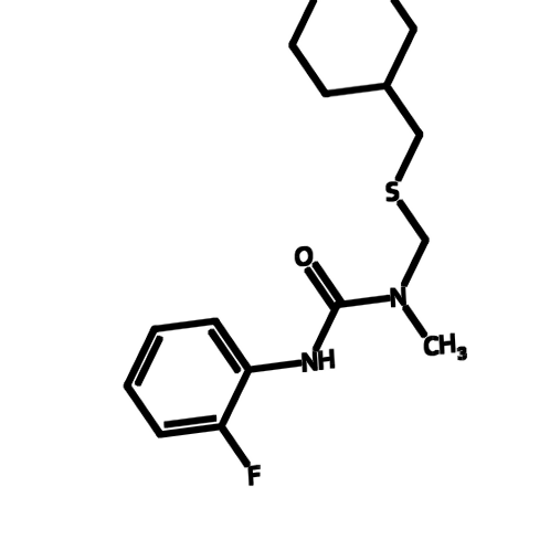 CN(CSCC1CCCCC1)C(=O)Nc1ccccc1F